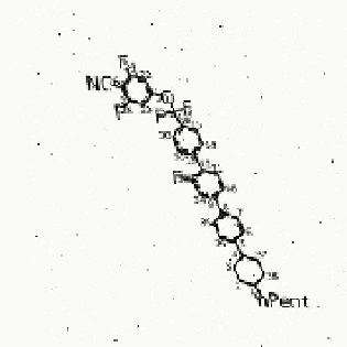 CCCCCC1CCC(c2ccc(-c3ccc(-c4ccc(C(F)(F)Oc5cc(F)c(C#N)c(F)c5)cc4)c(F)c3)cc2)CC1